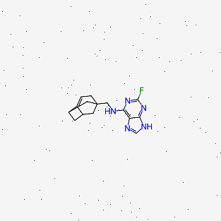 Fc1nc(NCC23CC=C4C(CC4C2)C3)c2nc[nH]c2n1